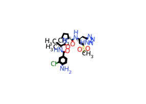 CC(C)(C)[C@H](NC(=O)c1ccc(N)c(Cl)c1)C(=O)N1CCC[C@@H]1C(=O)N[C@H](/C=C/S(C)(=O)=O)Cc1nnn[nH]1